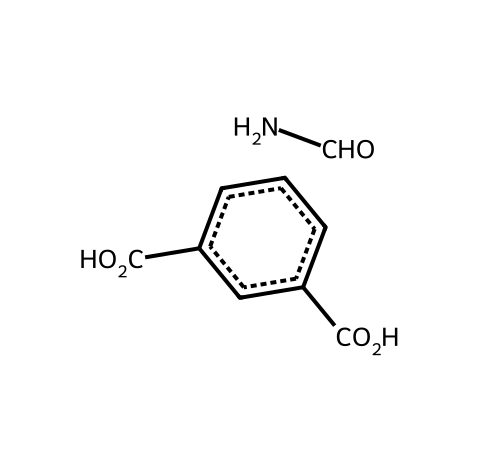 NC=O.O=C(O)c1cccc(C(=O)O)c1